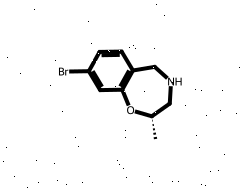 C[C@H]1CNCc2ccc(Br)cc2O1